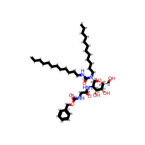 CCCCCCCCCCCCNC(=O)N(CCCCCCCCCCCC)[C@@H]1O[C@H](CO)[C@H](O)[C@H](O)[C@H]1NC(=O)CNC(=O)OCc1ccccc1